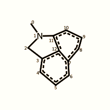 CN1Cc2cccc3cccc1c23